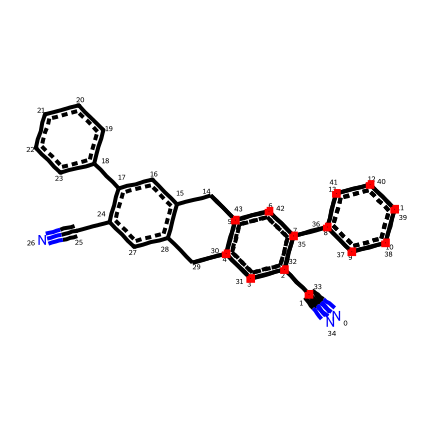 N#Cc1cc2c(cc1-c1ccccc1)C1c3cc(-c4ccccc4)c(C#N)cc3C2c2cc(C#N)c(-c3ccccc3)cc21